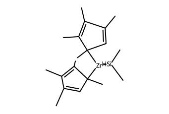 CC1=C[C](C)([Zr]([SiH](C)C)[C]2(C)C=C(C)C(C)=C2C)C(C)=C1C